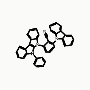 N#Cc1c(-n2c3ccccc3c3ccccc32)cccc1-n1c2ccccc2c2c3ccccc3n(-c3ccccc3)c21